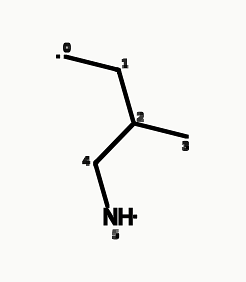 [CH2]CC(C)C[NH]